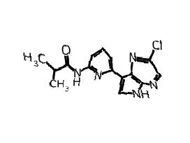 CC(C)C(=O)Nc1cccc(-c2c[nH]c3ncc(Cl)nc23)n1